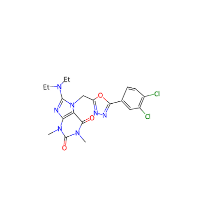 CCN(CC)c1nc2c(c(=O)n(C)c(=O)n2C)n1Cc1nnc(-c2ccc(Cl)c(Cl)c2)o1